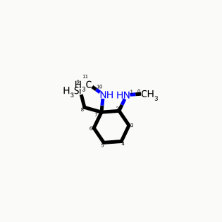 CNC1CCCCC1(C[SiH3])NC